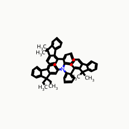 CCC1(CC)c2ccccc2-c2ccc(N(c3ccccc3-c3cccc4c3-c3ccccc3C4(C)C)c3ccccc3-c3cccc4c3C(C)(C)c3ccccc3-4)cc21